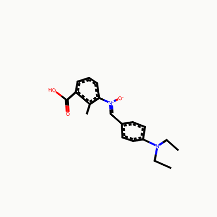 CCN(CC)c1ccc(C=[N+]([O-])c2cccc(C(=O)O)c2C)cc1